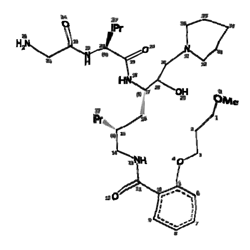 COCCCOc1ccccc1C(=O)NC[C@@H](C[C@H](NC(=O)[C@@H](NC(=O)CN)C(C)C)C(O)CN1CCCCC1)C(C)C